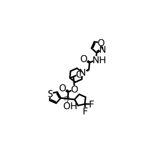 O=C(C[N+]12CCC(CC1)C(OC(=O)[C@](O)(c1ccsc1)C1CCC(F)(F)C1)C2)Nc1ccon1